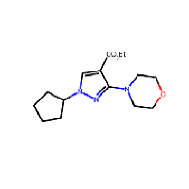 CCOC(=O)c1cn(C2CCCC2)nc1N1CCOCC1